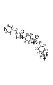 O=C(C=Cc1ccncc1)Nc1ccc(C(=O)NCc2ccc(C(F)(F)F)cc2)cc1